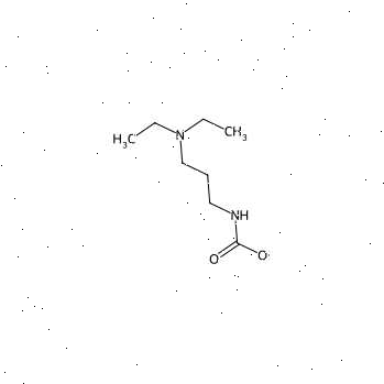 CCN(CC)CCCNC([O])=O